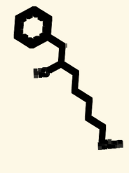 CCCCCCCCCCCCCCC(O)[CH]c1ccccc1